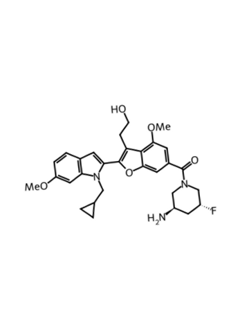 COc1ccc2cc(-c3oc4cc(C(=O)N5C[C@H](N)C[C@@H](F)C5)cc(OC)c4c3CCO)n(CC3CC3)c2c1